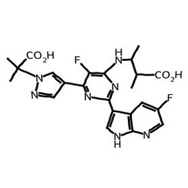 CC(Nc1nc(-c2c[nH]c3ncc(F)cc23)nc(-c2cnn(C(C)(C)C(=O)O)c2)c1F)C(C)C(=O)O